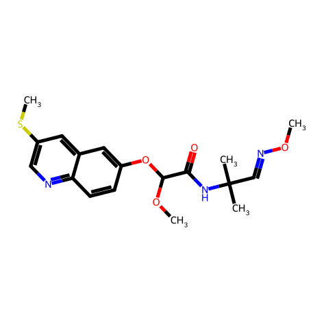 CON=CC(C)(C)NC(=O)C(OC)Oc1ccc2ncc(SC)cc2c1